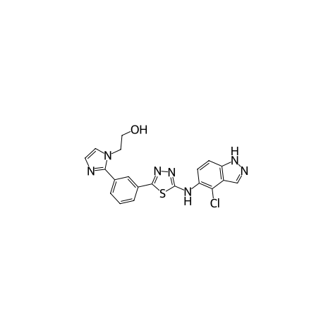 OCCn1ccnc1-c1cccc(-c2nnc(Nc3ccc4[nH]ncc4c3Cl)s2)c1